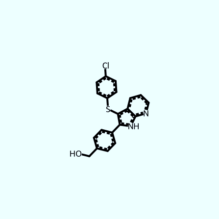 OCc1ccc(-c2[nH]c3ncccc3c2Sc2ccc(Cl)cc2)cc1